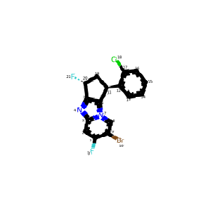 Fc1cc2nc3c(n2cc1Br)[C@H](c1ccccc1Cl)C[C@H]3F